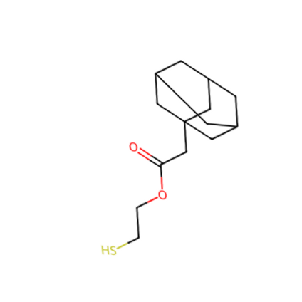 O=C(CC12CC3CC(CC(C3)C1)C2)OCCS